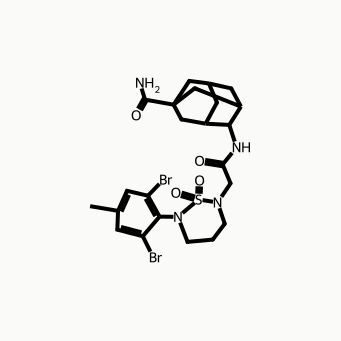 Cc1cc(Br)c(N2CCCN(CC(=O)NC3C4CC5CC3CC(C(N)=O)(C5)C4)S2(=O)=O)c(Br)c1